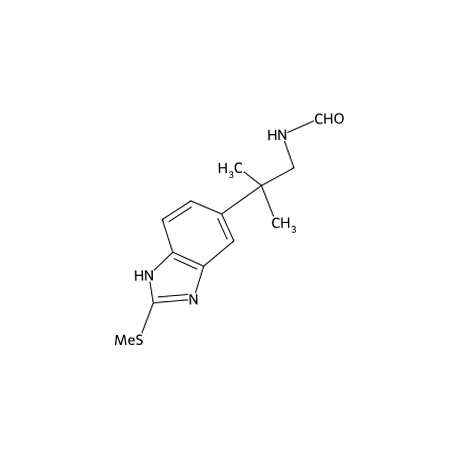 CSc1nc2cc(C(C)(C)CNC=O)ccc2[nH]1